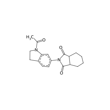 CC(=O)N1CCc2ccc(N3C(=O)C4CCCCC4C3=O)cc21